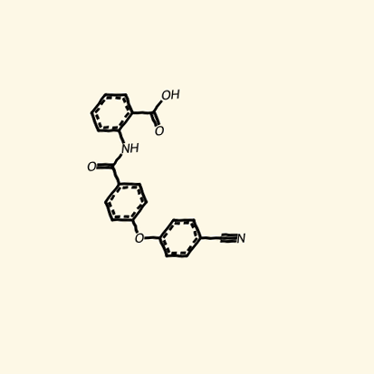 N#Cc1ccc(Oc2ccc(C(=O)Nc3ccccc3C(=O)O)cc2)cc1